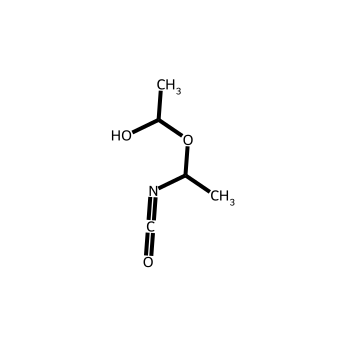 CC(O)OC(C)N=C=O